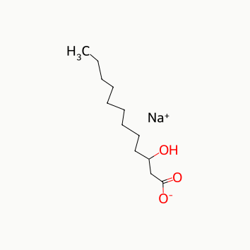 CCCCCCCCCC(O)CC(=O)[O-].[Na+]